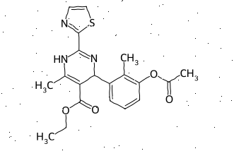 CCOC(=O)C1=C(C)NC(c2nccs2)=NC1c1cccc(OC(C)=O)c1C